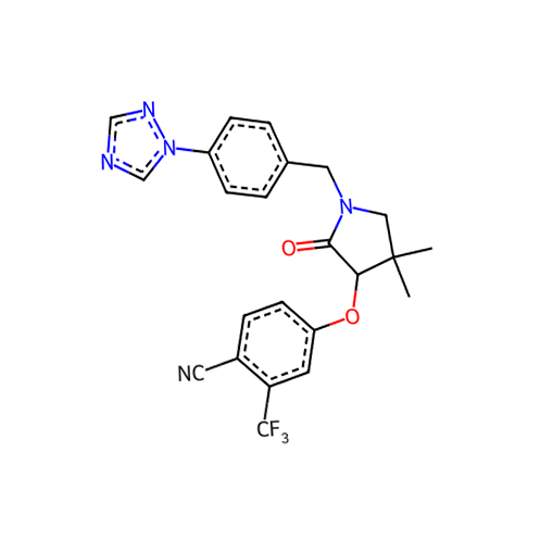 CC1(C)CN(Cc2ccc(-n3cncn3)cc2)C(=O)C1Oc1ccc(C#N)c(C(F)(F)F)c1